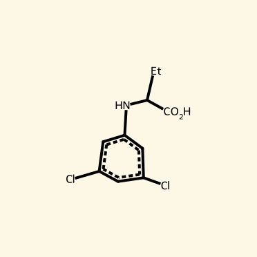 CCC(Nc1cc(Cl)cc(Cl)c1)C(=O)O